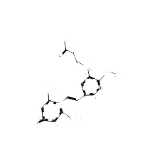 COc1ccc(/C=C/n2c(C)cc(=O)cc2C)cc1OCCC(C)=O